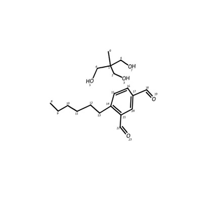 CC(CO)(CO)CO.CCCCCCc1ccc(C=O)cc1C=O